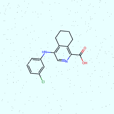 O=C(O)c1ncc(Nc2cccc(Cl)c2)c2c1CCCC2